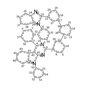 c1ccc(-c2nc(-c3cccc(-c4cccc(-c5cccc(-c6nc7ccccc7n6-c6ccccc6)c5)c4)c3)nc3c2c2ccccc2n3-c2ccccc2)cc1